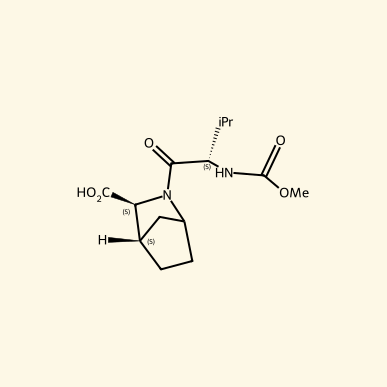 COC(=O)N[C@H](C(=O)N1C2CC[C@@H](C2)[C@H]1C(=O)O)C(C)C